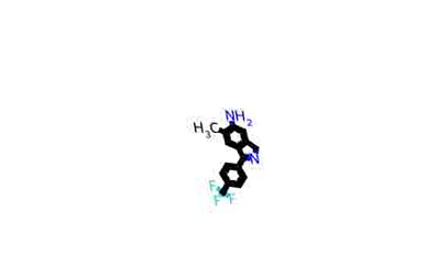 Cc1cc2c(cc1N)CN=C2c1ccc(C(F)(F)F)cc1